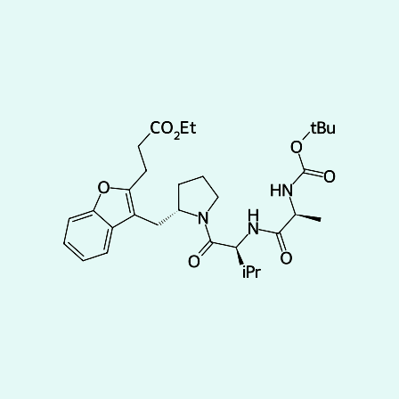 CCOC(=O)CCc1oc2ccccc2c1C[C@@H]1CCCN1C(=O)[C@@H](NC(=O)[C@H](C)NC(=O)OC(C)(C)C)C(C)C